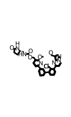 COc1nc(-c2cccc(-c3cccc(-c4ccn5ncc(C=O)c5n4)c3Cl)c2Cl)ccc1COC(=O)NC[C@@H]1CCC(=O)N1